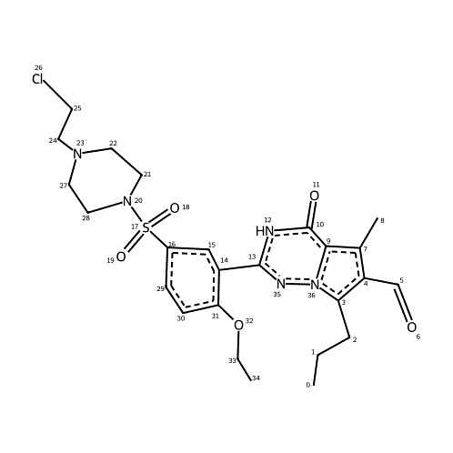 CCCc1c(C=O)c(C)c2c(=O)[nH]c(-c3cc(S(=O)(=O)N4CCN(CCCl)CC4)ccc3OCC)nn12